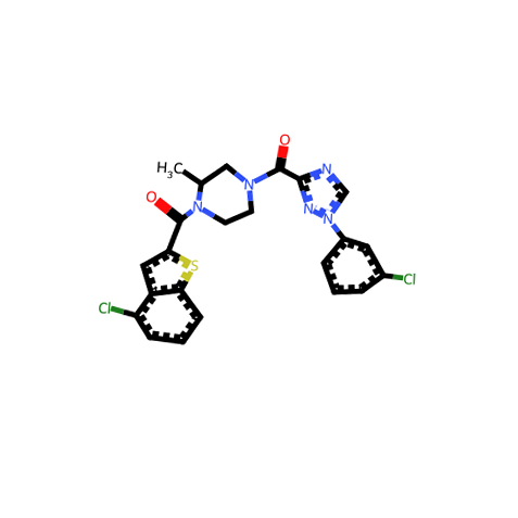 CC1CN(C(=O)c2ncn(-c3cccc(Cl)c3)n2)CCN1C(=O)c1cc2c(Cl)cccc2s1